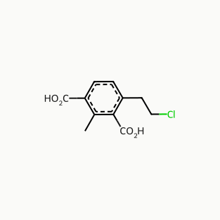 Cc1c(C(=O)O)ccc(CCCl)c1C(=O)O